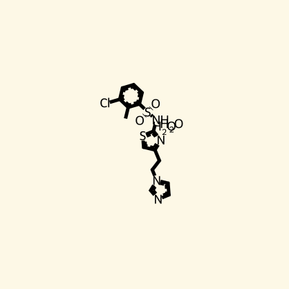 Cc1c(Cl)cccc1S(=O)(=O)Nc1nc(CCn2ccnc2)cs1.O.O